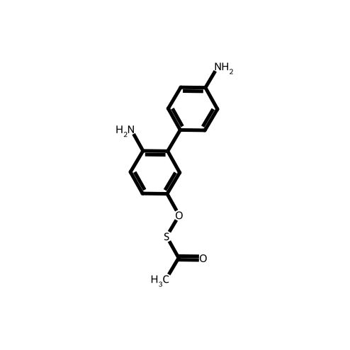 CC(=O)SOc1ccc(N)c(-c2ccc(N)cc2)c1